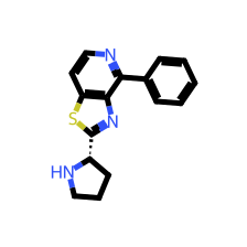 c1ccc(-c2nccc3sc([C@@H]4CCCN4)nc23)cc1